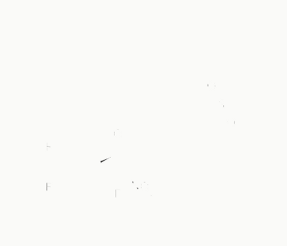 CS(=O)(=O)c1ccc2c3c(ccc2c1)O[C@H](c1cc(F)c(F)cc1F)[C@@H]([N+](=O)[O-])C3